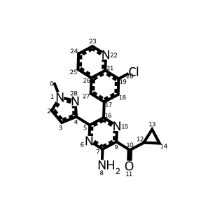 Cn1ccc(-c2nc(N)c(C(=O)C3CC3)nc2-c2cc(Cl)c3ncccc3c2)n1